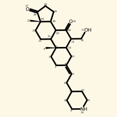 C[C@]12CC/C(=C\CC3CCNCC3)CC1C(CO)C(=O)C1C2CC[C@]2(C)C(=O)CCC12